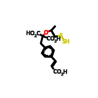 CC(CSS)OC(Cc1ccc(/C=C/C(=O)O)cc1)(C(=O)O)C(=O)O